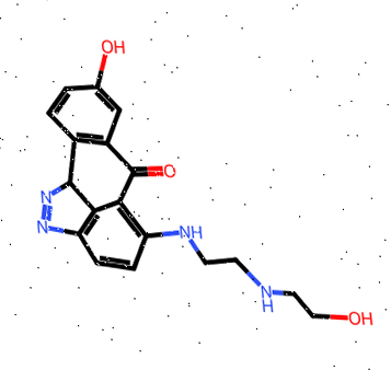 O=C1c2cc(O)ccc2C2N=Nc3ccc(NCCNCCO)c1c32